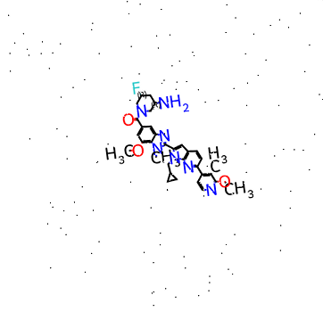 COc1nccc(-c2ccc3cc(-c4nc5cc(C(=O)N6C[C@H](N)C[C@@H](F)C6)cc(OC)c5n4C)n(CC4CC4)c3n2)c1C